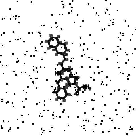 NC(=O)c1noc([C@@H](Cc2ccccc2)NC(=O)[CH]Cc2ccc3ccccc3c2)n1